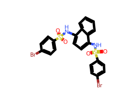 O=S(=O)(Nc1ccc(NS(=O)(=O)c2ccc(Br)cc2)c2ccccc12)c1ccc(Br)cc1